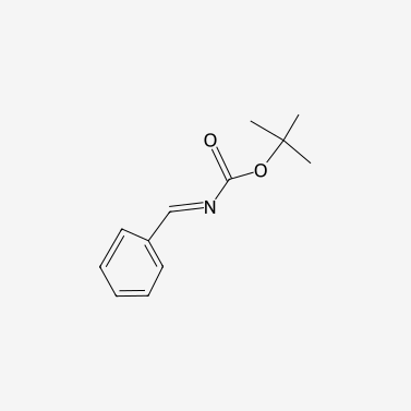 CC(C)(C)OC(=O)N=Cc1ccccc1